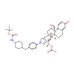 CC(=O)OCC(=O)[C@@]12CN(c3ccc(CC4CCC(NC(=O)OC(C)(C)C)CC4)cc3)C[C@@H]1C[C@H]1[C@@H]3CCC4=CC(=O)C=C[C@]4(C)[C@H]3[C@@H](O)C[C@@]12C